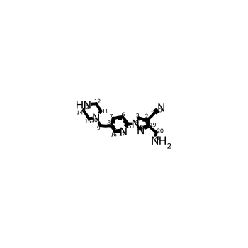 N#Cc1cn(-c2ccc(CN3CCNCC3)cn2)nc1CN